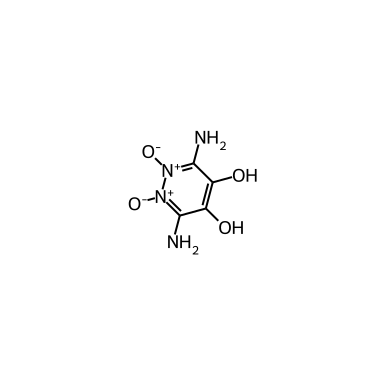 Nc1c(O)c(O)c(N)[n+]([O-])[n+]1[O-]